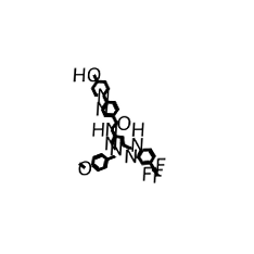 COc1ccc(Cn2nc(NC(=O)c3ccc(N4CCC(O)CC4)nc3)cc2-c2nc3cc(C(F)(F)F)ccc3[nH]2)cc1